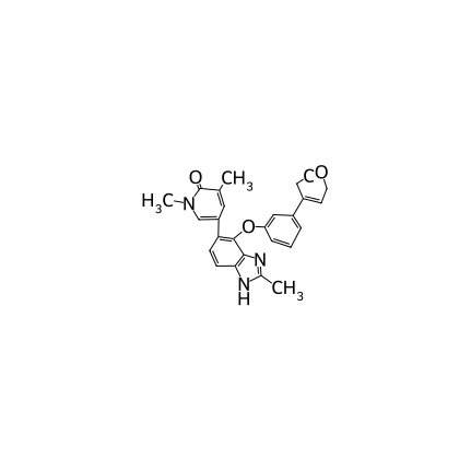 Cc1nc2c(Oc3cccc(C4=CCOCC4)c3)c(-c3cc(C)c(=O)n(C)c3)ccc2[nH]1